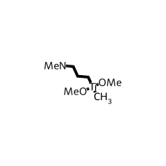 CNCC[CH2][Ti]([CH3])([O]C)[O]C